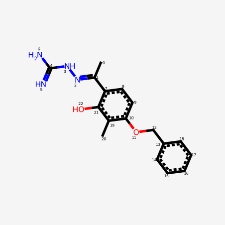 CC(=NNC(=N)N)c1ccc(OCc2ccccc2)c(C)c1O